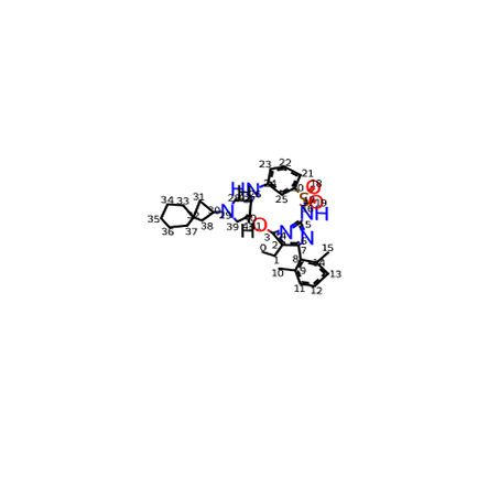 CCc1c2nc(nc1-c1c(C)cccc1C)NS(=O)(=O)c1cccc(c1)N[C@@H]1CN(C3CC4(CCCCC4)C3)C[C@H]1O2